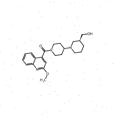 COc1cc(C(=O)N2CCC(N3CCC[C@H](CO)C3)CC2)c2ccccc2n1